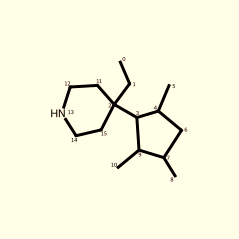 CCC1(C2C(C)CC(C)C2C)CCNCC1